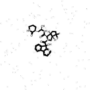 N#C[C@H](C[C@H]1CCCNC1=O)NC(=O)[C@H]1[C@@H]2CCC(F)(F)[C@@H]2CN1C(=O)C1(O)c2ccccc2-c2ccccc21